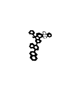 CC1(c2ccccc2)c2cc(-c3ccc(-c4ccc5ccccc5c4)c4ccccc34)ccc2-c2c1ccc1c2Oc2ccccc2O1